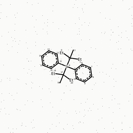 CCC(C)(CC)[Si](c1ccccc1)(c1ccccc1)C(C)(CC)CC